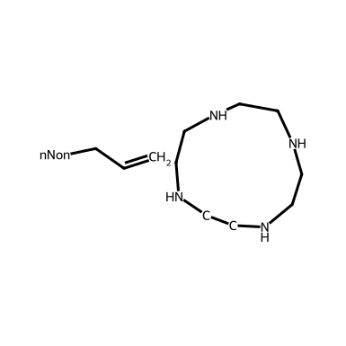 C1CNCCNCCNCCN1.C=CCCCCCCCCCC